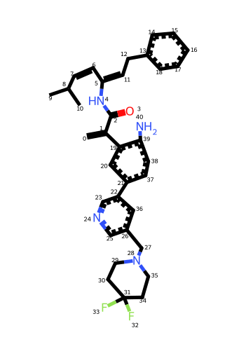 C=C(C(=O)NC(/C=C\C(C)C)=C/Cc1ccccc1)c1cc(-c2cncc(CN3CCC(F)(F)CC3)c2)ccc1N